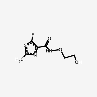 Cc1nc(C(=O)NOCCO)c(F)s1